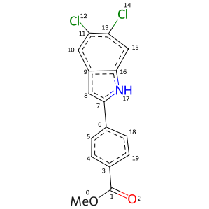 COC(=O)c1ccc(-c2cc3cc(Cl)c(Cl)cc3[nH]2)cc1